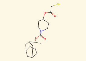 CC1(OC(=O)N2CCC(OC(=O)CS)CC2)C2CC3CC(C2)CC1C3